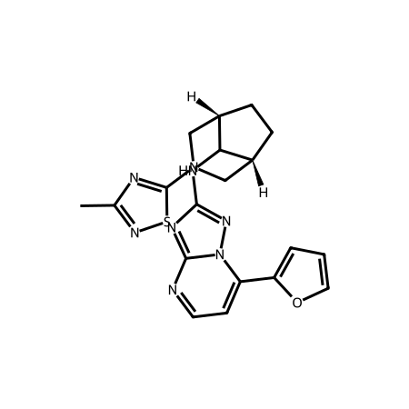 Cc1nsc(N2C[C@H]3CC[C@@H](C2)C3Nc2nc3nccc(-c4ccco4)n3n2)n1